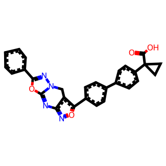 O=C(O)C1(c2ccc(-c3ccc(-c4onc5c4CN4N=C(c6ccccc6)OC4=N5)cc3)cc2)CC1